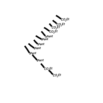 CCCC(C)C.CCCC(C)C.CCCC(C)C.CCCC(C)C.CCCC(C)C.CCCCCC.CCOC(C)=O.CCOC(C)=O.CCOC(C)=O.CCOC(C)=O.CCOC(C)=O.CCOC(C)=O